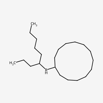 CCCCCC(BC1CCCCCCCCCCCC1)CCC